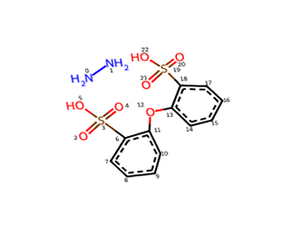 NN.O=S(=O)(O)c1ccccc1Oc1ccccc1S(=O)(=O)O